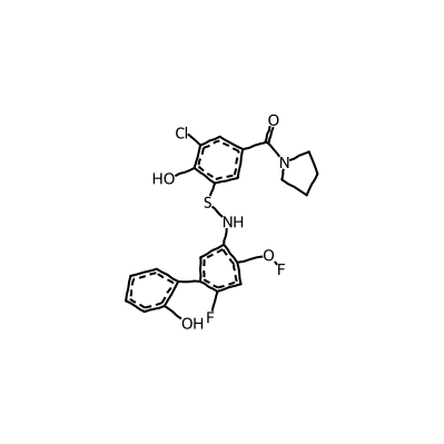 O=C(c1cc(Cl)c(O)c(SNc2cc(-c3ccccc3O)c(F)cc2OF)c1)N1CCCC1